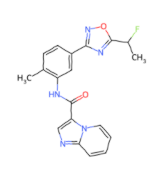 Cc1ccc(-c2noc(C(C)F)n2)cc1NC(=O)c1cnc2ccccn12